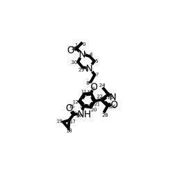 CC(=O)N1CCN(CCOc2ccc(NC(=O)C3CC3)cc2-c2c(C)noc2C)CC1